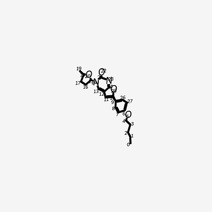 CCCCCOc1ccc(-c2cc3cn([C@H]4CCC(C)O4)c(=O)nc3o2)cc1